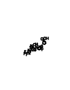 Cc1nsc(Nc2cnc(C(F)(F)F)cn2)c1C(=O)Nc1ccc(F)c(OC[C@H]2CCCN(C(=O)O)C2)c1